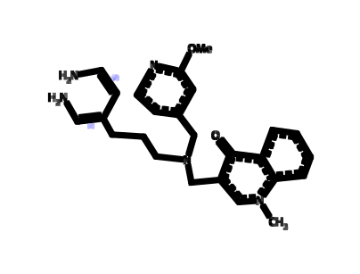 COc1cc(CN(CCCC(/C=C\N)=C/N)Cc2cn(C)c3ccccc3c2=O)ccn1